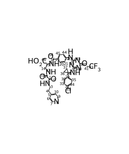 O=C(NCCc1ccncc1)C(=O)NC[C@H](NC(=O)c1ccc(Nc2nc(NC3(c4ccc(Cl)cc4)CC3)nc(OCC(F)(F)F)n2)cc1)C(=O)O